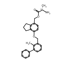 Cc1c(COc2ccc(COC(=O)[C@H](C)N)c3c2CCC3)cccc1-c1ccccc1